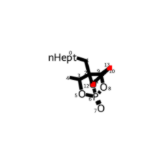 CCCCCCCCC12C(C)OP(=O)(OC1C)OC2C